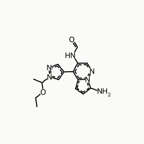 CCOC(C)n1cc(-c2c(NC=O)cnn3c(N)ccc23)cn1